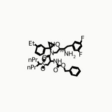 CCCC(CCC)S(=O)(=O)CC(NC(=O)OCc1ccccc1)C(=O)N(C[C@@H](O)[C@@H](N)Cc1cc(F)cc(F)c1)C1(c2cccc(CC)c2)CC1